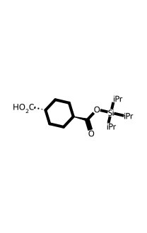 CC(C)[Si](OC(=O)[C@H]1CC[C@H](C(=O)O)CC1)(C(C)C)C(C)C